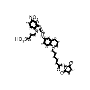 O=C(CCCCCN1CCCc2cc(N=Nc3sc4cc([N+](=O)[O-])ccc4[n+]3CCCS(=O)(=O)O)ccc21)ON1C(=O)CCC1=O